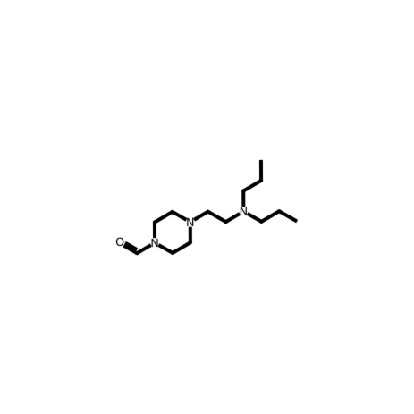 CCCN(CCC)CCN1CCN(C=O)CC1